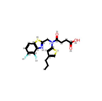 CCCc1csc(N(Cc2nc3c(F)c(F)ccc3s2)C(=O)CCC(=O)O)c1